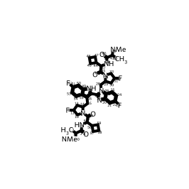 CNC(C)C(=O)NC(C(=O)N1CC(F)CC1Cc1c(-c2nc3cc(F)ccc3n2CC2CC(F)CN2C(=O)C(NC(=O)C(C)NC)C2CCC2)[nH]c2cc(F)ccc12)C1CCC1